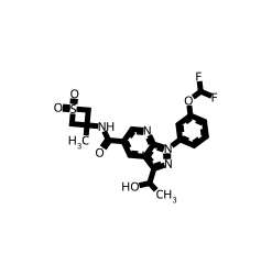 CC(O)c1nn(-c2cccc(OC(F)F)c2)c2ncc(C(=O)NC3(C)CS(=O)(=O)C3)cc12